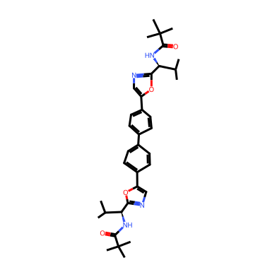 CC(C)[C@H](NC(=O)C(C)(C)C)c1ncc(-c2ccc(-c3ccc(-c4cnc([C@@H](NC(=O)C(C)(C)C)C(C)C)o4)cc3)cc2)o1